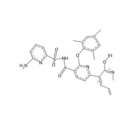 C=C/C=C(\C(=N/C)OCC)c1ccc(C(=O)NS(=O)(=O)c2cccc(N)n2)c(Oc2c(C)cc(C)cc2C)n1